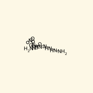 NCCNCCCNCCCN1CCC(NC(=O)c2cc3c(nc(N)c(=O)n3-c3ccc4c(c3)N(c3ccccc3)CCO4)s2)CC1